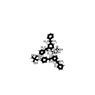 CC(C)(c1ccccc1)c1ccc(OP(=O)(Oc2ccc(C(C)(C)c3ccccc3)cc2C(C)(C)c2ccccc2)OP(=O)(O)O)c(C(C)(C)c2ccccc2)c1.OCC(CO)(CO)CO